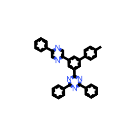 Cc1ccc(-c2cc(-c3cnc(-c4ccccc4)cn3)cc(-c3nc(-c4ccccc4)nc(-c4ccccc4)n3)c2)cc1